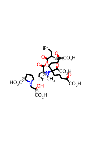 CNC(CC(C)C)C(=O)OC(=O)[C@H](CC(C)C)N(C)C(CCCC(=O)C(=O)O)(CCCC(=O)C(=O)O)C(=O)C(=O)O.O=C(O)[C@@H](O)CN1CCC[C@H]1C(=O)O